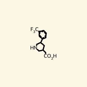 O=C(O)CC1CNCC(c2cccc(C(F)(F)F)c2)C1